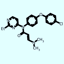 CCc1nccc(N(C(=O)C=CN(C)C)c2ccc(Oc3ccc(Cl)cc3)cc2)n1